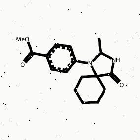 COC(=O)c1ccc(N2C(C)NC(=O)C23CCCCC3)cc1